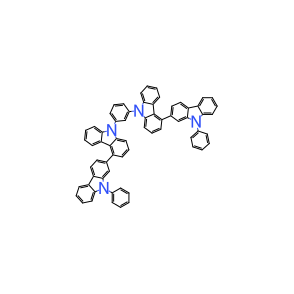 c1ccc(-n2c3ccccc3c3ccc(-c4cccc5c4c4ccccc4n5-c4cccc(-n5c6ccccc6c6c(-c7ccc8c9ccccc9n(-c9ccccc9)c8c7)cccc65)c4)cc32)cc1